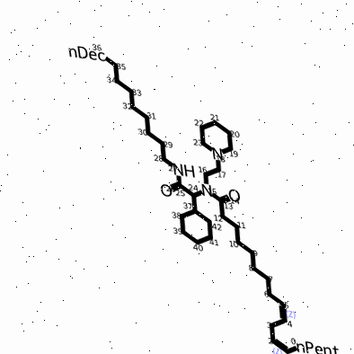 CCCCC/C=C\C/C=C\CCCCCCCC(=O)N(CCN1CCCCC1)C(C(=O)NCCCCCCCCCCCCCCCCCC)C1CCCCC1